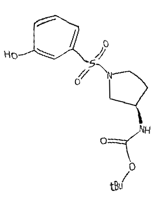 CC(C)(C)OC(=O)N[C@@H]1CCN(S(=O)(=O)c2cccc(O)c2)C1